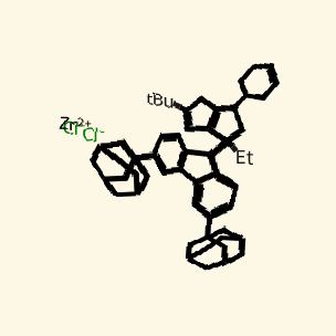 CCC1(C2c3ccc(C45CC6CC(CC(C6)C4)C5)cc3-c3cc(C45CC6CC(CC(C6)C4)C5)ccc32)CC(C2CC=CCC2)C2=C1C=C(C(C)(C)C)C2.[Cl-].[Cl-].[Zr+2]